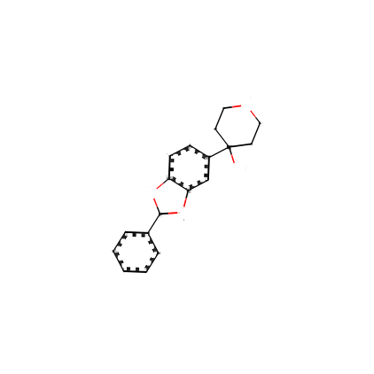 OC1(c2ccc3c(c2)OC(c2ccccc2)O3)CCOCC1